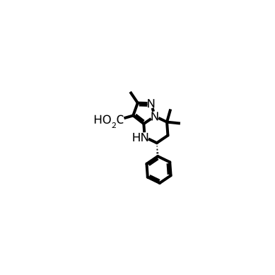 Cc1nn2c(c1C(=O)O)N[C@@H](c1ccccc1)CC2(C)C